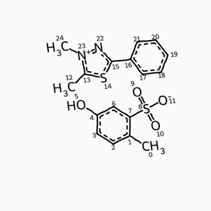 Cc1ccc(O)cc1S(=O)(=O)[O-].Cc1sc(-c2ccccc2)n[n+]1C